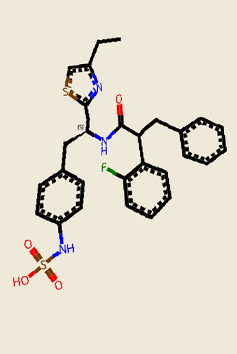 CCc1csc([C@H](Cc2ccc(NS(=O)(=O)O)cc2)NC(=O)C(Cc2ccccc2)c2ccccc2F)n1